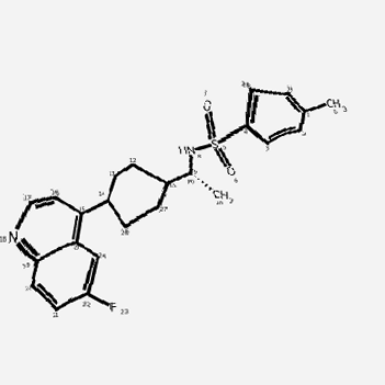 Cc1ccc(S(=O)(=O)N[C@H](C)C2CCC(c3ccnc4ccc(F)cc34)CC2)cc1